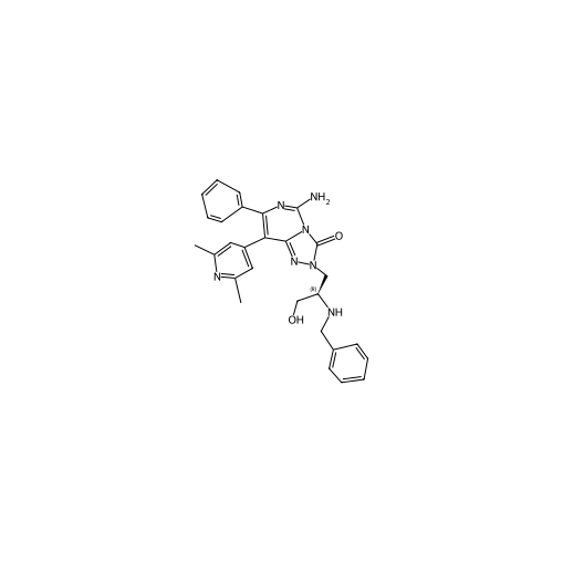 Cc1cc(-c2c(-c3ccccc3)nc(N)n3c(=O)n(C[C@H](CO)NCc4ccccc4)nc23)cc(C)n1